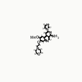 COc1cc2c(cc1OCCN1CCOCC1)ncc1c(N)nc(-n3ccnc3)cc12